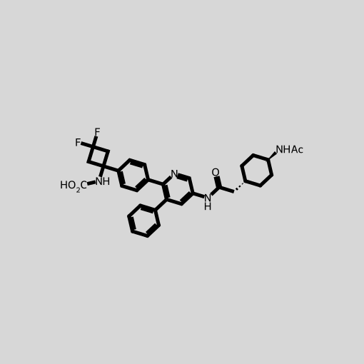 CC(=O)N[C@H]1CC[C@H](CC(=O)Nc2cnc(-c3ccc(C4(NC(=O)O)CC(F)(F)C4)cc3)c(-c3ccccc3)c2)CC1